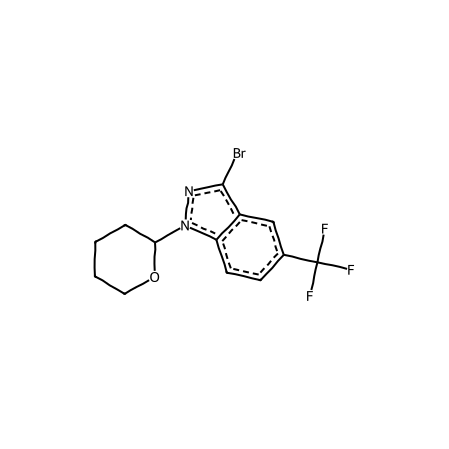 FC(F)(F)c1ccc2c(c1)c(Br)nn2C1CCCCO1